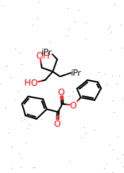 CC(C)CC(CO)(CO)CC(C)C.O=C(Oc1ccccc1)C(=O)c1ccccc1